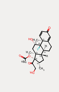 CCCCC(=O)O[C@@]1(C(=O)CO)[C@@H](C)C[C@H]2[C@@H]3CCC4=CC(=O)C=C[C@]4(C)[C@@]3(F)[C@@H](O)C[C@@]21C